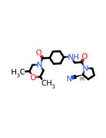 CC1CN(C(=O)C2CCC(NCC(=O)N3CCC[C@H]3C#N)CC2)CC(C)O1